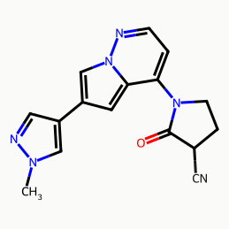 Cn1cc(-c2cc3c(N4CCC(C#N)C4=O)ccnn3c2)cn1